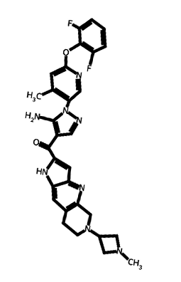 Cc1cc(Oc2c(F)cccc2F)ncc1-n1ncc(C(=O)c2cc3nc4c(cc3[nH]2)CCN(C2CN(C)C2)C4)c1N